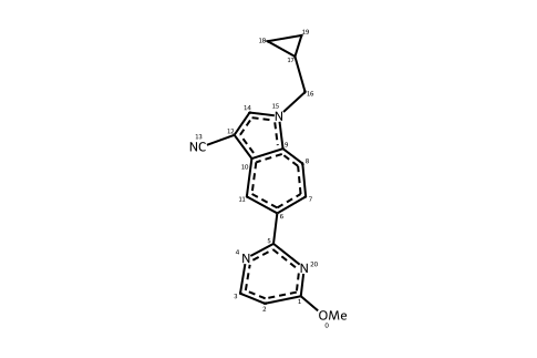 COc1ccnc(-c2ccc3c(c2)c(C#N)cn3CC2CC2)n1